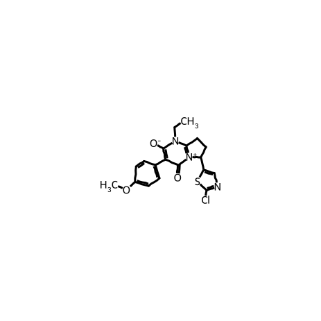 CCn1c([O-])c(-c2ccc(OC)cc2)c(=O)[n+]2c1CCC2c1cnc(Cl)s1